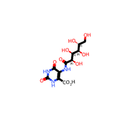 O=C(O)c1[nH]c(=O)[nH]c(=O)c1NC(=O)[C@H](O)[C@@H](O)[C@H](O)[C@H](O)CO